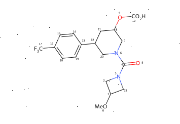 COC1CN(C(=O)N2CC(OC(=O)O)CC(c3ccc(C(F)(F)F)cc3)C2)C1